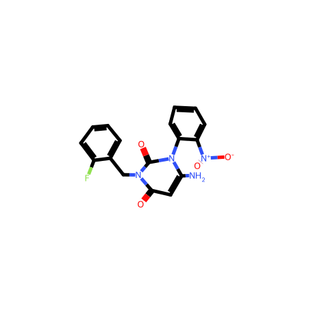 Nc1cc(=O)n(Cc2ccccc2F)c(=O)n1-c1ccccc1[N+](=O)[O-]